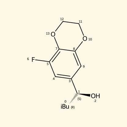 CC[C@@H](C)[C@H](O)c1cc(F)c2c(c1)OCCO2